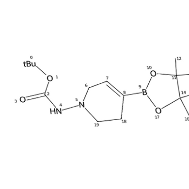 CC(C)(C)OC(=O)NN1CC=C(B2OC(C)(C)C(C)(C)O2)CC1